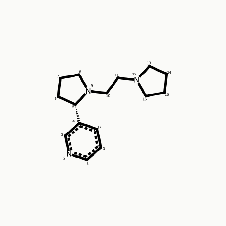 c1cncc([C@@H]2CCCN2CCN2CCCC2)c1